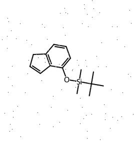 CC(C)(C)[Si](C)(C)Oc1cccc2c1C=CC2